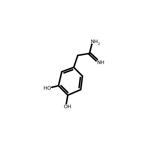 N=C(N)Cc1ccc(O)c(O)c1